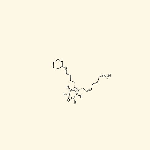 O=C(O)CCC/C=C\C[C@H]1[C@@H](CCCCSC2CCCCC2)[C@@H]2O[C@H]1[C@@H]1O[C@@H]12